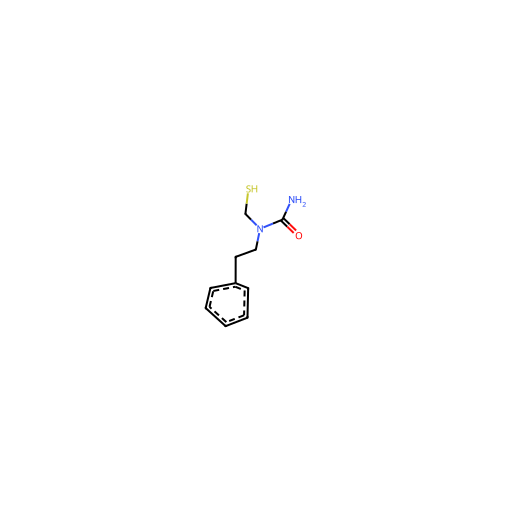 NC(=O)N(CS)CCc1ccccc1